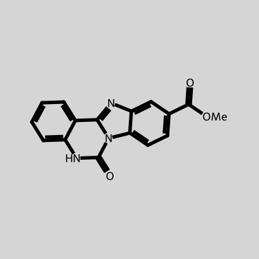 COC(=O)c1ccc2c(c1)nc1c3ccccc3[nH]c(=O)n21